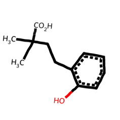 CC(C)(CCc1ccccc1O)C(=O)O